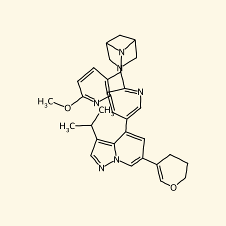 COc1ccc(CN2C3CC2CN(c2ccc(-c4cc(C5=COCCC5)cn5ncc(C(C)C)c45)cn2)C3)cn1